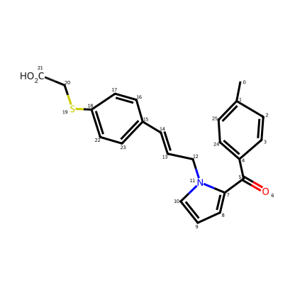 Cc1ccc(C(=O)c2cccn2CC=Cc2ccc(SCC(=O)O)cc2)cc1